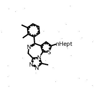 CCCCCCCc1cc2c(s1)-n1c(C)nnc1CN=C2c1cccc(C)c1C